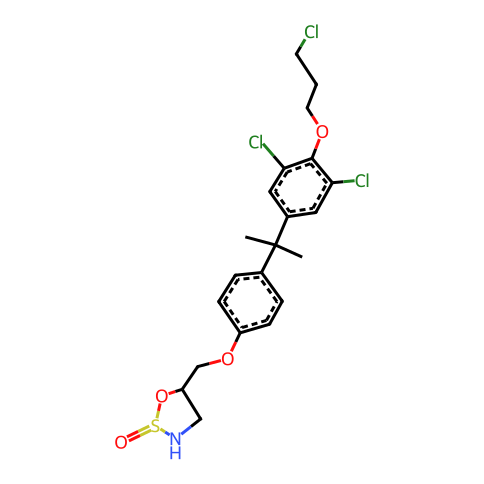 CC(C)(c1ccc(OCC2CNS(=O)O2)cc1)c1cc(Cl)c(OCCCCl)c(Cl)c1